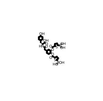 O=C(Cc1ccc(OC(=O)c2ccc(B(O)O)s2)c(OC(=O)c2ccc(B(O)O)s2)c1)N[C@@H](Cc1ccc(O)cc1)C(=O)O